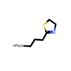 CCCCCCCCC1=N[CH]CS1